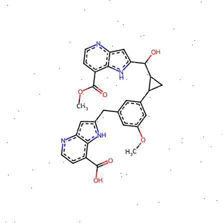 COC(=O)c1ccnc2cc(C(O)C3CC3c3cc(Cc4cc5nccc(C(=O)O)c5[nH]4)cc(OC)c3)[nH]c12